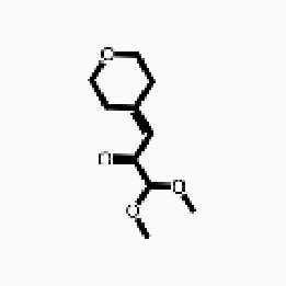 COC(OC)C(=O)C=C1CCOCC1